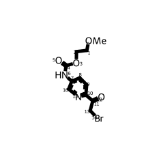 COCCOC(=O)Nc1ccc(C(=O)CBr)nc1